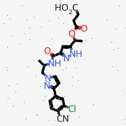 CC(Cn1ccc(-c2ccc(C#N)c(Cl)c2)n1)NC(=O)c1cc(C(C)OC(=O)CCC(=O)O)[nH]n1